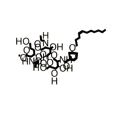 CCCCCC/C=C\CCCOc1cccc(C(=O)NC2[C@H](O[C@H]3C(O)C(NC(C)=O)[C@H](OC4C(CO)O[C@@H](OC)[C@@H](NC(C)=O)[C@H]4O)O[C@H]3CO)OC(CO)[C@@H](O)[C@@H]2O)c1